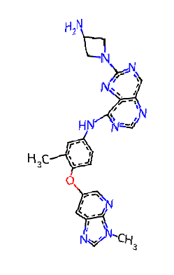 Cc1cc(Nc2ncnc3cnc(N4CC(N)C4)nc23)ccc1Oc1cnc2c(c1)ncn2C